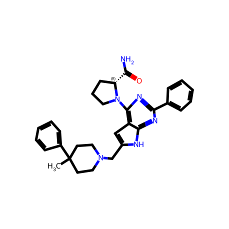 CC1(c2ccccc2)CCN(Cc2cc3c(N4CCC[C@@H]4C(N)=O)nc(-c4ccccc4)nc3[nH]2)CC1